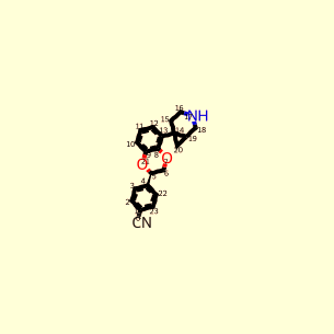 N#Cc1ccc([C@@H]2COc3c(cccc3C34CCNCC3C4)O2)cc1